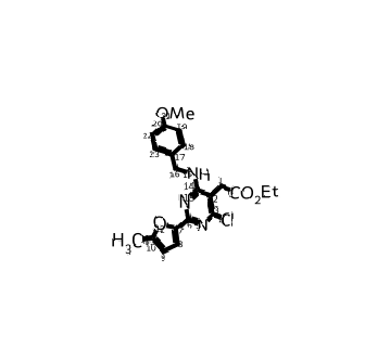 CCOC(=O)Cc1c(Cl)nc(-c2ccc(C)o2)nc1NCc1ccc(OC)cc1